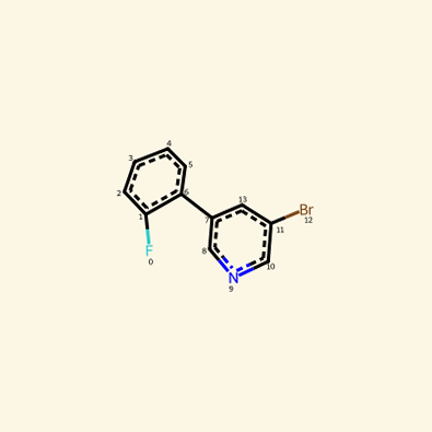 Fc1ccccc1-c1cncc(Br)c1